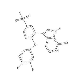 Cn1cc(-c2cc(S(C)(=O)=O)ccc2Oc2ccc(F)c(F)c2)c2cc[nH]c(=O)c21